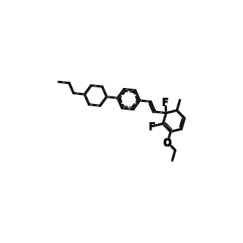 CCCC1CCC(c2ccc(C=CC3(F)C(F)=C(OCC)C=CC3C)cc2)CC1